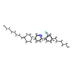 CCCCCCCC[C@H]1CC[C@H](c2ccc(-c3ccc(CCCCCC)cc3F)nc2)CC1